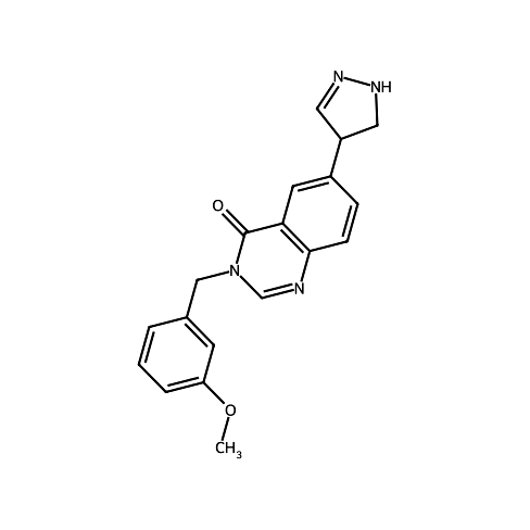 COc1cccc(Cn2cnc3ccc(C4C=NNC4)cc3c2=O)c1